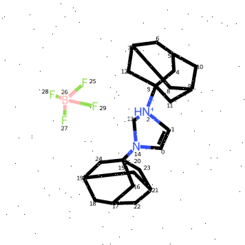 C1=C[NH+](C23CC4CC(CC(C4)C2)C3)CN1C12CC3CC(CC(C3)C1)C2.F[B-](F)(F)F